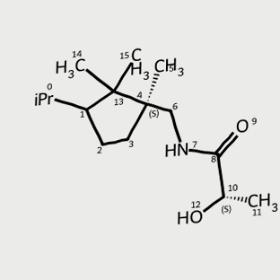 CC(C)C1CC[C@](C)(CNC(=O)[C@H](C)O)C1(C)C